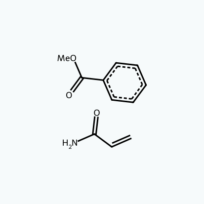 C=CC(N)=O.COC(=O)c1ccccc1